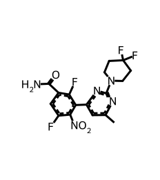 Cc1cc(-c2c(F)c(C(N)=O)cc(F)c2[N+](=O)[O-])nc(N2CCC(F)(F)CC2)n1